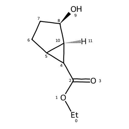 CCOC(=O)C1C2CC[C@@H](O)[C@H]21